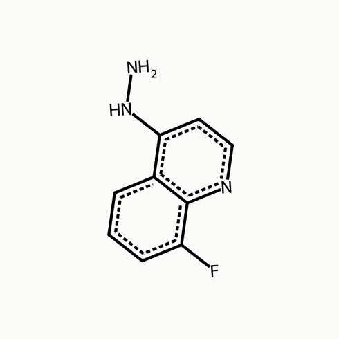 NNc1ccnc2c(F)cccc12